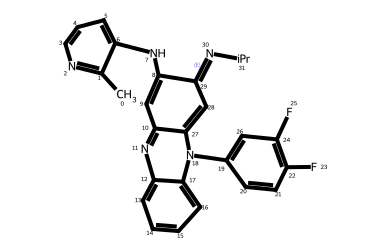 Cc1ncccc1Nc1cc2nc3ccccc3n(-c3ccc(F)c(F)c3)c-2c/c1=N\C(C)C